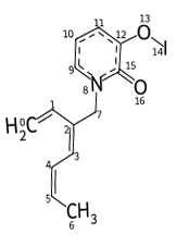 C=C/C(=C\C=C/C)Cn1cccc(OI)c1=O